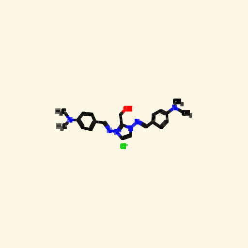 CN(C)c1ccc(C=Nn2cc[n+](N=Cc3ccc(N(C)C)cc3)c2CO)cc1.[Cl-]